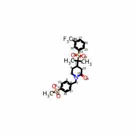 CC(C)(C1CCN(Cc2ccc(S(C)(=O)=O)cc2)C(=O)C1)S(=O)(=O)c1cccc(C(F)(F)F)c1